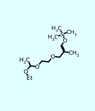 CCOC(C)OCCOCC(C)=CO[Si](C)(C)C